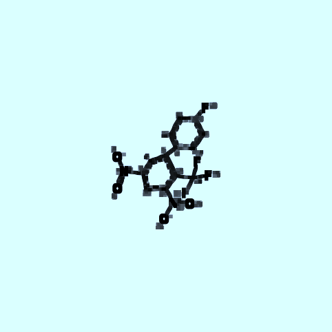 O=[N+]([O-])c1cc(-c2ccc(F)cc2)c(C(F)(F)F)c([N+](=O)[O-])c1